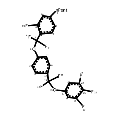 CCCCCc1ccc(C(F)(F)Oc2ccc(C(F)(F)Oc3cc(F)c(F)c(F)c3)cc2)c(F)c1